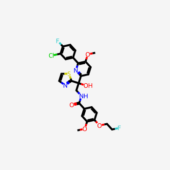 COc1cc(C(=O)NCC(O)(c2ccc(OC)c(-c3ccc(F)c(Cl)c3)n2)c2nccs2)ccc1OCCF